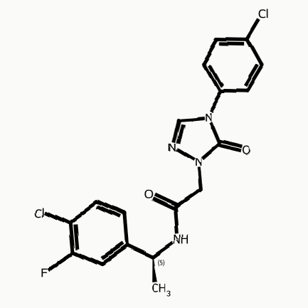 C[C@H](NC(=O)Cn1ncn(-c2ccc(Cl)cc2)c1=O)c1ccc(Cl)c(F)c1